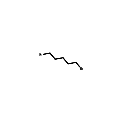 BrCC[CH]CCBr